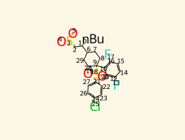 CCCCC(C=S(=O)=O)C1CCC(c2cc(F)ccc2F)(S(=O)(=O)c2ccc(Cl)cc2)CC1